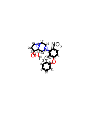 O=[N+]([O-])c1ccc(Oc2ccccc2)c(C(F)(F)F)c1N1CCN2CCC(O)C2C1